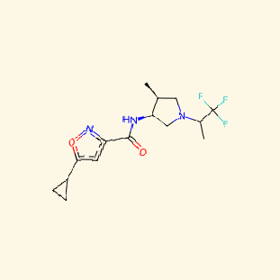 CC(N1C[C@H](C)[C@H](NC(=O)c2cc(C3CC3)on2)C1)C(F)(F)F